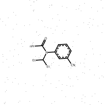 CCCC(=O)N(c1cccc(C#N)c1)C(CC)CC